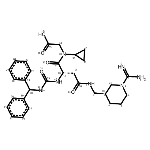 N=C(N)N1CCC[C@@H](CNC(=O)C[C@H](NC(=O)NC(c2ccccc2)c2ccccc2)C(=O)N(CC(=O)O)C2CC2)C1